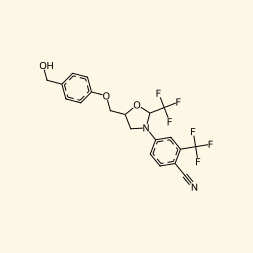 N#Cc1ccc(N2CC(COc3ccc(CO)cc3)OC2C(F)(F)F)cc1C(F)(F)F